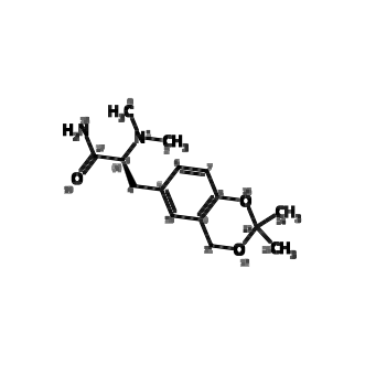 CN(C)[C@@H](Cc1ccc2c(c1)COC(C)(C)O2)C(N)=O